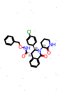 O=C(NOCc1ccccc1)[C@H]1c2ccccc2C(=O)N([C@H]2CCCNC2=O)[C@@H]1C1C=CC(Cl)=CC1